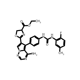 CCOC(=O)C1COC(c2cn3ncnc(N)c3c2-c2ccc(NC(=O)Nc3cc(C)ccc3F)cc2)=N1